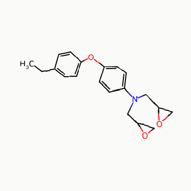 CCc1ccc(Oc2ccc(N(CC3CO3)CC3CO3)cc2)cc1